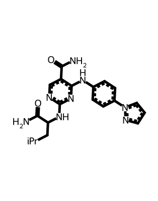 CC(C)CC(Nc1ncc(C(N)=O)c(Nc2ccc(-n3cccn3)cc2)n1)C(N)=O